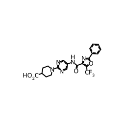 O=C(Nc1cnc(N2CCC(C(=O)O)CC2)nc1)c1nc(-c2ccccc2)oc1C(F)(F)F